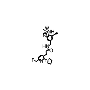 C#Cc1cc(CNC(=O)CCc2ccc(CF)nc2N2CCCC2)cc(F)c1NS(C)(=O)=O